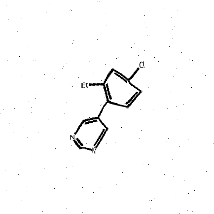 CCc1cc(Cl)ccc1-c1cncnc1